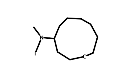 CN(I)C1CCCCCCCCC1